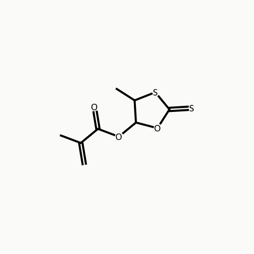 C=C(C)C(=O)OC1OC(=S)SC1C